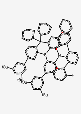 CC(C)(C)c1cc(-c2ccc3c(c2)B2c4cc(-c5cc(C(C)(C)C)cc(C(C)(C)C)c5)ccc4C(c4ccccc4)(c4ccccc4)c4cc(-c5ccccc5)cc(c42)N3c2c(-c3ccccc3F)cccc2-c2ccccc2F)cc(C(C)(C)C)c1